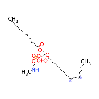 CCCCC/C=C\C/C=C\CCCCCCCCCC(=O)OC(COC(=O)CCCCCCCCCCCCCC)COP(=O)(O)OCCNC